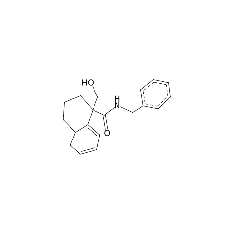 O=C(NCc1ccccc1)C1(CO)CCCC2CC=CC=C21